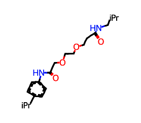 CC(C)CNC(=O)CCOCCOCC(=O)Nc1ccc(C(C)C)cc1